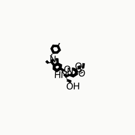 CC[C@@H]1c2ccc(C(=O)N[C@@H](CCO)c3ccc(S(=O)(=O)CC)cn3)cc2CN1C[C@H]1CC[C@H](C)CC1